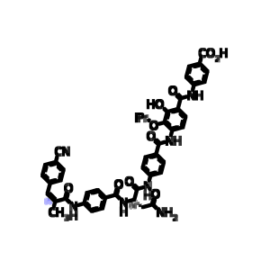 C/C(=C/c1ccc(C#N)cc1)C(=O)Nc1ccc(C(=O)N[C@@H](CC(N)=O)C(=O)Nc2ccc(C(=O)Nc3ccc(C(=O)Nc4ccc(C(=O)O)cc4)c(O)c3OC(C)C)cc2)cc1